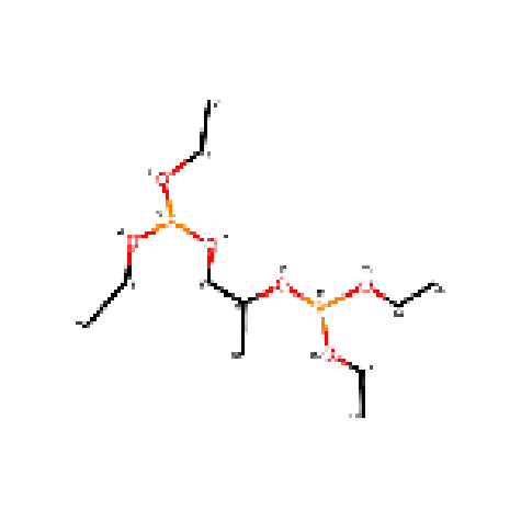 CCOP(OCC)OCC(C)OP(OCC)OCC